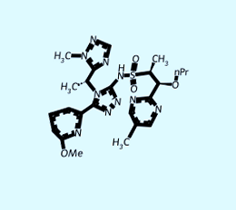 CCCO[C@@H](c1ncc(C)cn1)[C@H](C)S(=O)(=O)Nc1nnc(-c2cccc(OC)n2)n1[C@H](C)c1ncnn1C